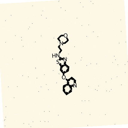 c1ccc2c(Oc3ccc4nc(NCCN5CCOCC5)sc4c3)ccnc2c1